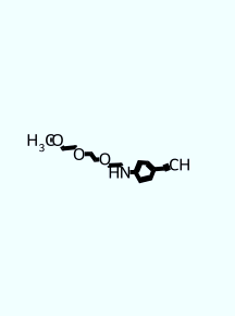 C#Cc1ccc(NCCOCCOCCOC)cc1